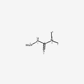 CNNC(=S)N(C)C